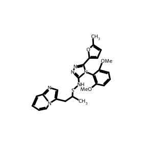 COc1cccc(OC)c1-n1c(NSC(C)Cc2cnc3ccccn23)nnc1-c1ccc(C)o1